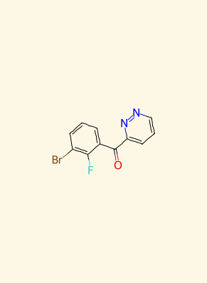 O=C(c1cccnn1)c1cccc(Br)c1F